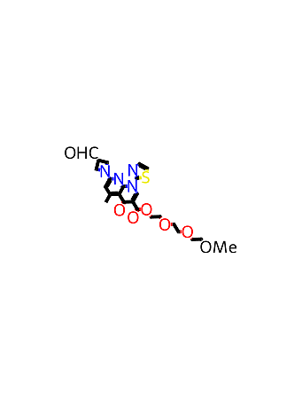 COCCOCCOCCOC(=O)c1cn(-c2nccs2)c2nc(N3CC(C=O)C3)cc(C)c2c1=O